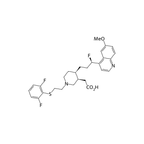 COc1ccc2nccc([C@H](F)CC[C@@H]3CCN(CCSc4c(F)cccc4F)C[C@@H]3CC(=O)O)c2c1